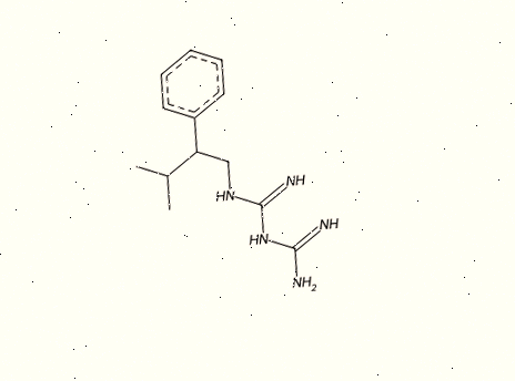 CC(C)C(CNC(=N)NC(=N)N)c1ccccc1